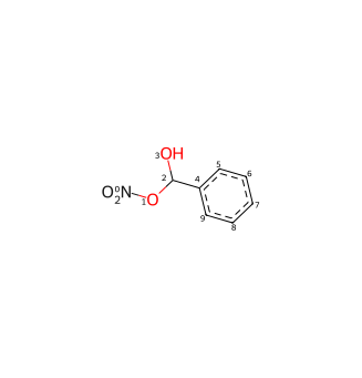 O=[N+]([O-])OC(O)c1ccccc1